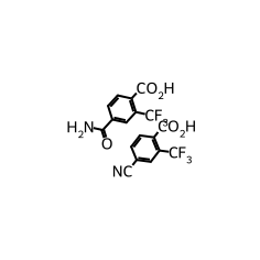 N#Cc1ccc(C(=O)O)c(C(F)(F)F)c1.NC(=O)c1ccc(C(=O)O)c(C(F)(F)F)c1